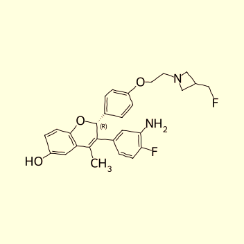 CC1=C(c2ccc(F)c(N)c2)[C@@H](c2ccc(OCCN3CC(CF)C3)cc2)Oc2ccc(O)cc21